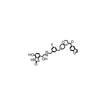 O=C(c1ccc2occc2c1)N1CCOC2(CCN(Cc3cc(F)cc(CCNC[C@H](O)c4ccc(O)c5[nH]c(=O)sc45)c3)CC2)C1